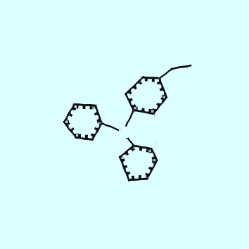 CCc1ccc([SH](c2ccccc2)c2ccccc2)cc1